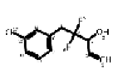 [CH]=CC(O)C(F)(F)Cc1cccc(Cl)c1